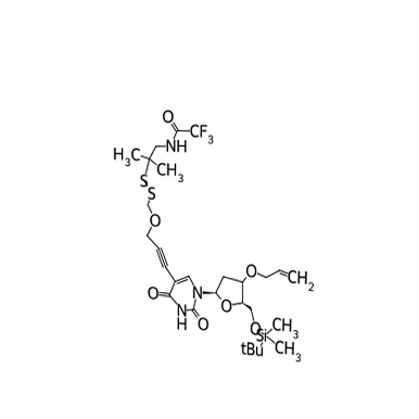 C=CCOC1C[C@H](n2cc(C#CCOCSSC(C)(C)CNC(=O)C(F)(F)F)c(=O)[nH]c2=O)O[C@@H]1CO[Si](C)(C)C(C)(C)C